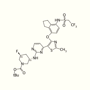 Cc1nc(Oc2ccc(NS(=O)(=O)CC(F)(F)F)c3c2CCC3)c(-c2ccnc(N[C@H]3C[C@H](F)CN(C(=O)OC(C)(C)C)C3)n2)s1